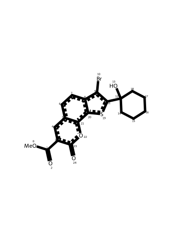 COC(=O)c1cc2ccc3c(Br)c(C4(O)CCCCC4)sc3c2oc1=O